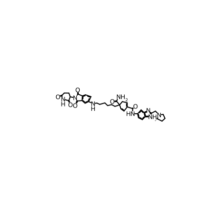 C[C@H]1CCCN1Cc1nc2cc(NC(=O)C3=CCC(CCCCCCNc4ccc5c(c4)C(=O)N(C4CCC(=O)NC4=O)C5=O)(C(N)=O)C=C3)ccc2[nH]1